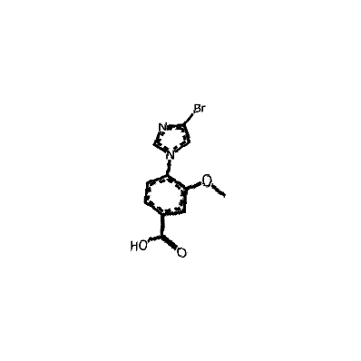 COc1cc(C(=O)O)ccc1-n1cnc(Br)c1